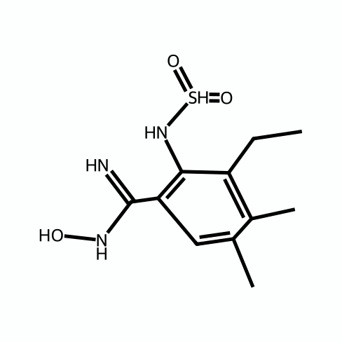 CCc1c(C)c(C)cc(C(=N)NO)c1N[SH](=O)=O